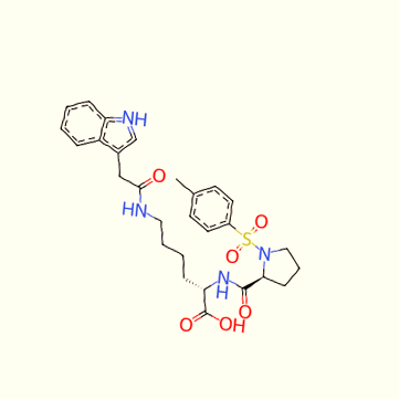 Cc1ccc(S(=O)(=O)N2CCC[C@H]2C(=O)N[C@@H](CCCCNC(=O)Cc2c[nH]c3ccccc23)C(=O)O)cc1